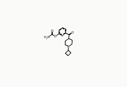 NC(=O)Oc1cccc(C(=O)C2CCN(C3CCC3)CC2)n1